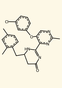 Cc1ccc(CC2CC(=O)N=C(c3nc(C)ncc3Oc3cccc(Cl)c3)N2)c(C)c1